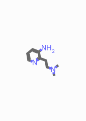 CN(C)CCc1ncccc1N